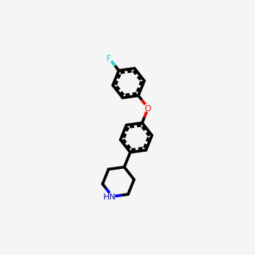 Fc1ccc(Oc2ccc(C3CCNCC3)cc2)cc1